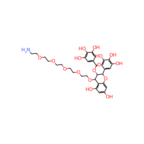 NCCOCCOCCOCCOCCOC1c2c(O)cc(O)cc2OC(c2cc(O)c(O)c(O)c2)C1OC(=O)c1cc(O)c(O)c(O)c1